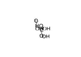 COCCCC[C@H](C)[C@@H](O)/C=C/[C@@H]1[C@@H](C/C=C\CCCC(=O)O)[C@@H](O)C[C@H]1O